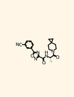 C[C@H](NC(=O)c1noc(-c2cccc(C#N)c2)n1)C(=O)N1CCC2(CC1)CC2